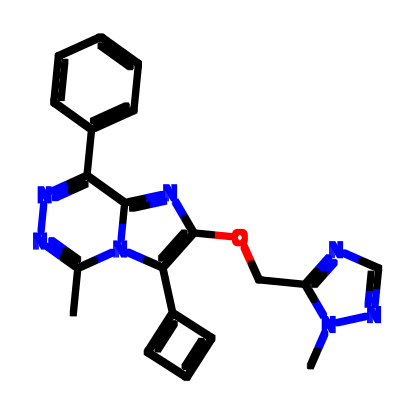 Cc1nnc(-c2ccccc2)c2nc(OCc3ncnn3C)c(C3=CC=C3)n12